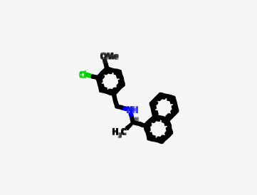 COc1ccc(CN[C@H](C)c2cccc3ccccc23)cc1Cl